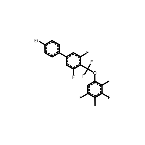 CCc1ccc(-c2cc(F)c(C(F)(F)Oc3cc(F)c(C)c(F)c3C)c(F)c2)cc1